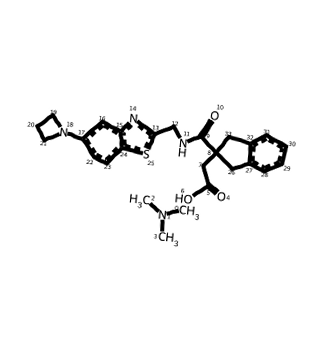 CN(C)C.O=C(O)CC1(C(=O)NCc2nc3cc(N4CCC4)ccc3s2)Cc2ccccc2C1